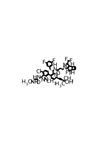 CNCC(=O)Nc1nn(C)c2c(-c3ccc(C#CC(C)(C)O)nc3[C@H](Cc3cc(F)cc(F)c3)NC(=O)CCn3nc(C(F)F)c4c3C(F)(F)[C@@H]3C#C[C@H]43)ccc(Cl)c12